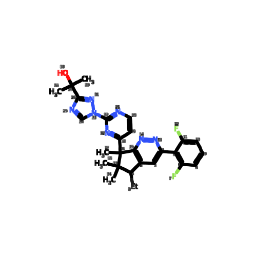 CCC1c2cc(-c3c(F)cccc3F)nnc2C(C)(c2ccnc(-n3cnc(C(C)(C)O)n3)n2)C1(C)C